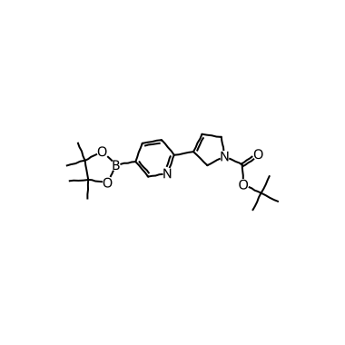 CC(C)(C)OC(=O)N1CC=C(c2ccc(B3OC(C)(C)C(C)(C)O3)cn2)C1